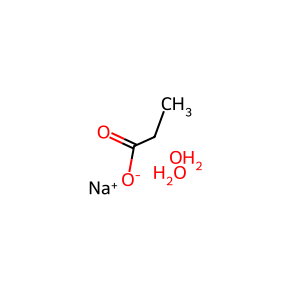 CCC(=O)[O-].O.O.[Na+]